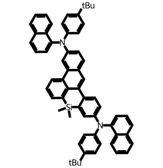 CC(C)(C)c1ccc(N(c2ccc3c(c2)[Si](C)(C)c2cccc4c2c-3cc2ccc(N(c3ccc(C(C)(C)C)cc3)c3cccc5ccccc35)cc24)c2cccc3ccccc23)cc1